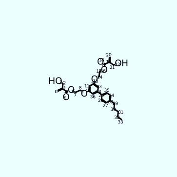 C=C(CO)C(=O)OCCOc1cc(OCCOC(=O)C(=C)CO)cc(-c2ccc(CCCCC)cc2)c1